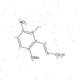 COc1ccc([N+](=O)[O-])c(C)c1C=CC(=O)O